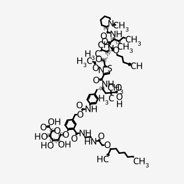 C#CCCCON(C(=O)[C@@H](NC(=O)[C@H]1CCCCN1C)[C@@H](C)CC)[C@H](C[C@@H](OC(C)=O)c1nc(C(=O)N[C@@H](Cc2ccc(NC(=O)OCc3ccc(O[C@@H]4O[C@H](C(=O)O)[C@@H](O)[C@H](O)[C@H]4O)c(C(=O)NCCNC(=O)COC(C#C)CCCCCC)c3)cc2)CC(C)(C)C(=O)O)cs1)C(C)C